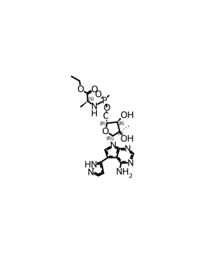 CCOC(=O)[C@H](C)NP(C)(=O)OC[C@H]1O[C@@H](n2cc(-c3ccn[nH]3)c3c(N)ncnc32)[C@](C)(O)[C@@H]1O